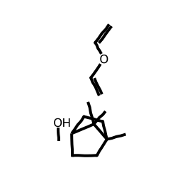 C=COC=C.CC12CCC(CC1)C2(C)C.CO